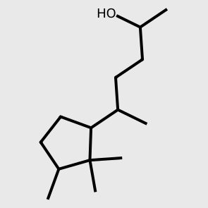 CC(O)CCC(C)C1CCC(C)C1(C)C